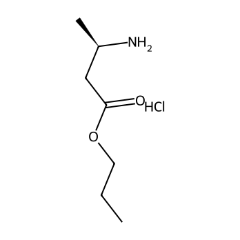 CCCOC(=O)C[C@@H](C)N.Cl